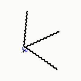 [CH2]c1nc(CCCCCCCCCCCCCCCCCCCC)c(CCCCCCCCCCCCCCCCCCCC)c(CCCCCCCCCCCCCCCCCCCC)n1